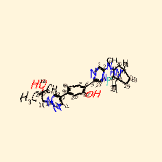 CN(c1cnc(-c2ccc(-c3cnn(CC(C)(C)O)c3)cc2O)cn1)[C@H]1C[C@@H]2CC[C@@H](N2)[C@H]1F